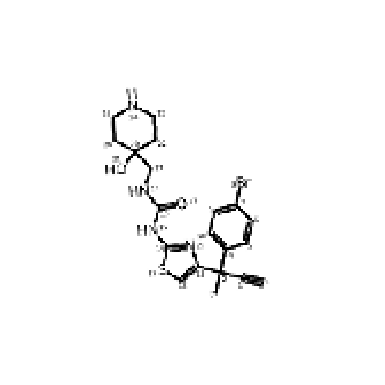 C#CC(C)(c1ccc(Br)cc1)c1csc(NC(=O)NCC2(O)CCNCC2)n1